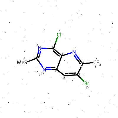 CSc1nc(Cl)c2nc(C(F)(F)F)c(Br)cc2n1